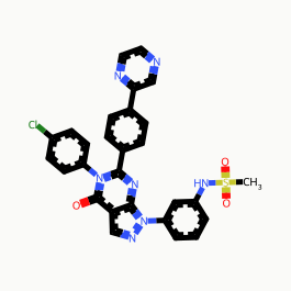 CS(=O)(=O)Nc1cccc(-n2ncc3c(=O)n(-c4ccc(Cl)cc4)c(-c4ccc(-c5cnccn5)cc4)nc32)c1